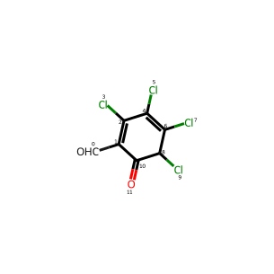 O=CC1=C(Cl)C(Cl)=C(Cl)C(Cl)C1=O